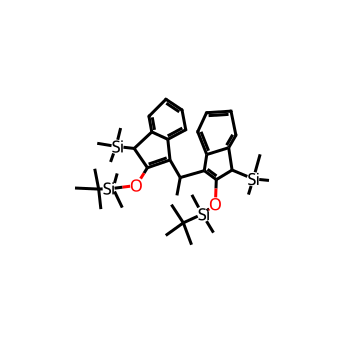 CC(C1=C(O[Si](C)(C)C(C)(C)C)C([Si](C)(C)C)c2ccccc21)C1=C(O[Si](C)(C)C(C)(C)C)C([Si](C)(C)C)c2ccccc21